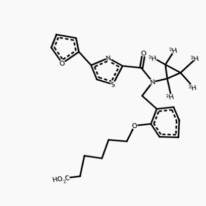 [2H]C1([2H])C([2H])([2H])C1([2H])N(Cc1ccccc1OCCCCCC(=O)O)C(=O)c1nc(-c2ccco2)cs1